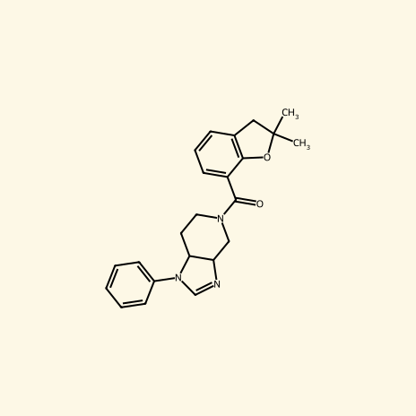 CC1(C)Cc2cccc(C(=O)N3CCC4C(C3)N=CN4c3ccccc3)c2O1